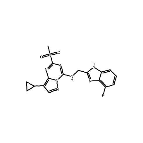 CS(=O)(=O)c1nc(NCc2nc3c(F)cccc3[nH]2)n2ncc(C3CC3)c2n1